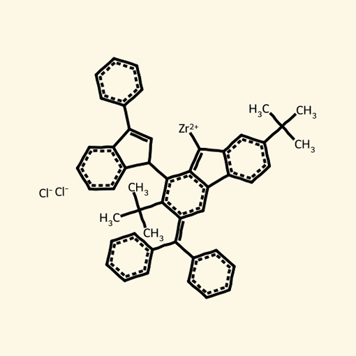 CC(C)(C)c1ccc2c(c1)[C]([Zr+2])=c1c-2cc(=C(c2ccccc2)c2ccccc2)c(C(C)(C)C)c1C1C=C(c2ccccc2)c2ccccc21.[Cl-].[Cl-]